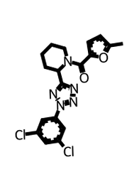 Cc1ccc(C(=O)N2CCCCC2c2nnn(-c3cc(Cl)cc(Cl)c3)n2)o1